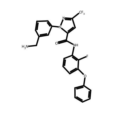 NCc1cccc(-n2nc(C(F)(F)F)cc2C(=O)Nc2cccc(Oc3ccccc3)c2F)c1